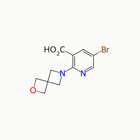 O=C(O)c1cc(Br)cnc1N1CC2(COC2)C1